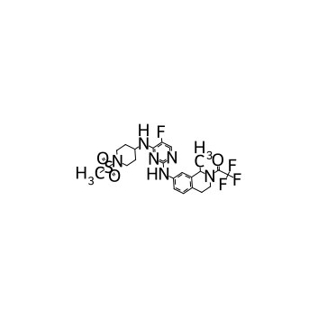 CC1c2cc(Nc3ncc(F)c(NC4CCN(S(C)(=O)=O)CC4)n3)ccc2CCN1C(=O)C(F)(F)F